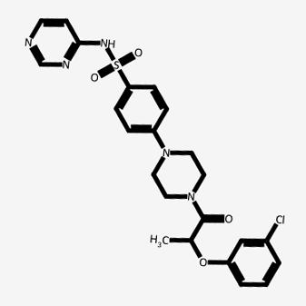 CC(Oc1cccc(Cl)c1)C(=O)N1CCN(c2ccc(S(=O)(=O)Nc3ccncn3)cc2)CC1